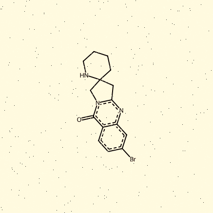 O=c1c2ccc(Br)cc2nc2n1CC1(CCCCN1)C2